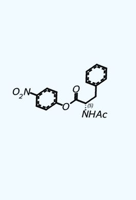 CC(=O)N[C@@H](Cc1ccccc1)C(=O)Oc1ccc([N+](=O)[O-])cc1